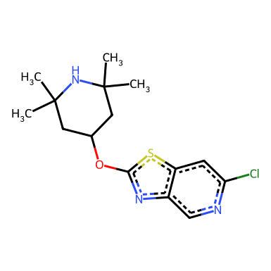 CC1(C)CC(Oc2nc3cnc(Cl)cc3s2)CC(C)(C)N1